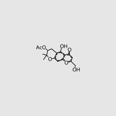 CC(=O)O[C@H]1Cc2c(cc3oc(CO)cc(=O)c3c2O)OC1(C)C